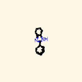 [c]1ccc2[nH]c(-c3ccccc3)nc2c1